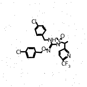 CC(c1ccc(C(F)(F)F)nc1)S(C)(=O)=N/C(=N/OCc1ccc(Cl)cc1)NCc1ccc(Cl)cc1